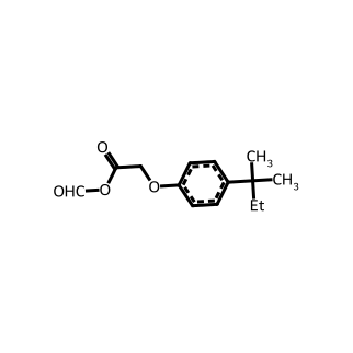 CCC(C)(C)c1ccc(OCC(=O)OC=O)cc1